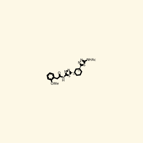 COc1ccccc1CC(=O)Nc1nnc([C@H]2CCC[C@H](c3nnc(NC(C)=O)s3)C2)s1